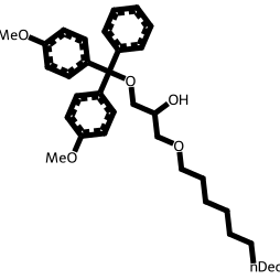 CCCCCCCCCCCCCCCCOCC(O)COC(c1ccccc1)(c1ccc(OC)cc1)c1ccc(OC)cc1